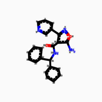 Nc1onc(-c2cccnc2)c1C(=O)NC(c1ccccc1)c1ccccc1